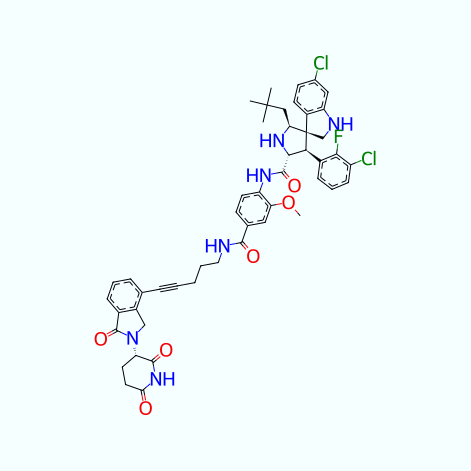 COc1cc(C(=O)NCCCC#Cc2cccc3c2CN([C@H]2CCC(=O)NC2=O)C3=O)ccc1NC(=O)[C@@H]1N[C@@H](CC(C)(C)C)[C@@]2(CNc3cc(Cl)ccc32)[C@H]1c1cccc(Cl)c1F